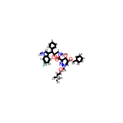 CN(CC(O)C(c1ccccc1)c1cn(C)c2cc(F)ccc12)C(=O)c1nn(COCC[Si](C)(C)C)cc(OCc2ccccc2)c1=O